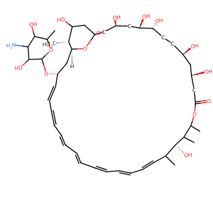 CC1OC(O[C@H]2/C=C/C=C/C=C/C=C/C=C/C=C/C=C/C(C)[C@@H](O)C(C)C(C)OC(=O)C[C@H](O)C[C@H](O)CC[C@@H](O)[C@H](O)C[C@H](O)C[C@]3(O)CC(O)[C@@H](C(=O)O)[C@H](C2)O3)C(O)C(N)C1O